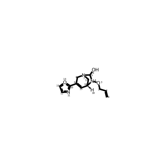 C=CCON1C(O)N2CC(c3ncco3)=C[C@@H]1C2